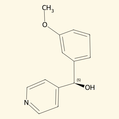 COc1cccc([C@@H](O)c2ccncc2)c1